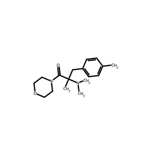 Cc1ccc(CC(C)(C(=O)N2CCOCC2)N(C)C)cc1